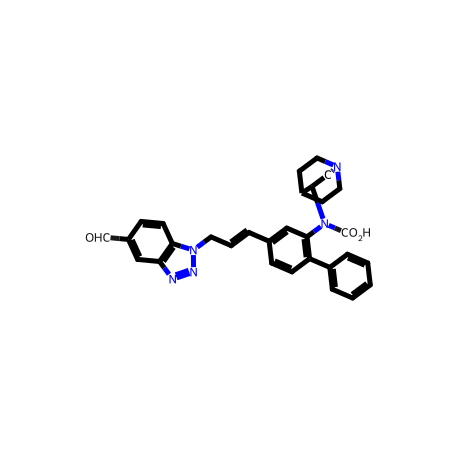 O=Cc1ccc2c(c1)nnn2CC=Cc1ccc(-c2ccccc2)c(N(C(=O)O)C2CN3CCC2CC3)c1